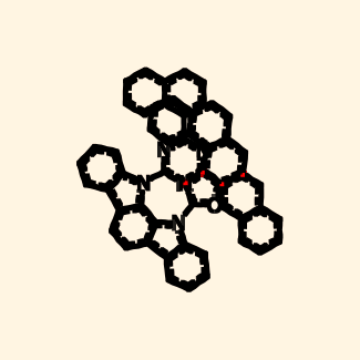 c1ccc2cc(-c3nc(-c4cccc5ccccc45)nc(-n4c5ccccc5c5ccc6c7ccccc7n(-c7nc8c(ccc9ccc%10ccccc%10c98)o7)c6c54)n3)ccc2c1